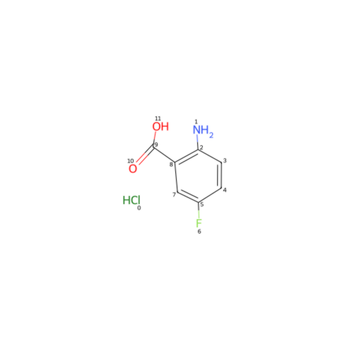 Cl.Nc1ccc(F)cc1C(=O)O